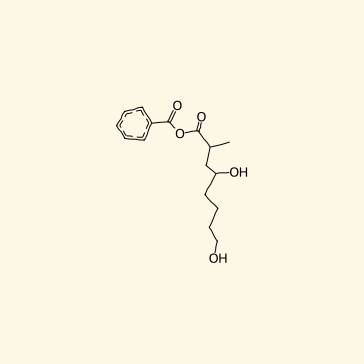 CC(CC(O)CCCCO)C(=O)OC(=O)c1ccccc1